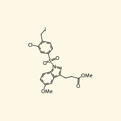 COC(=O)CCc1cn(S(=O)(=O)c2ccc(CI)c(Cl)c2)c2ccc(OC)cc12